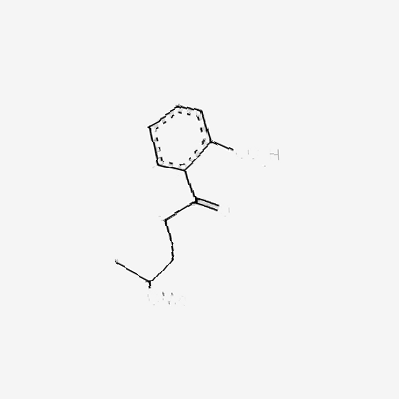 COC(C)CCC(=O)c1ccccc1C(=O)O